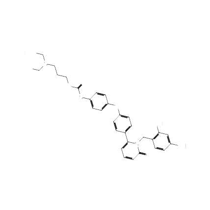 CCN(CC)CCCOC(=O)Nc1ccc(Oc2ccc(-c3cccc(=O)n3Cc3ccc(C)cc3C)cc2)cc1